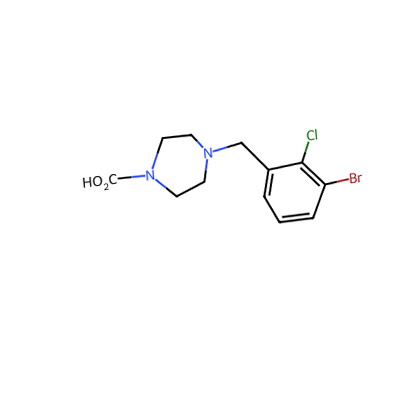 O=C(O)N1CCN(Cc2cccc(Br)c2Cl)CC1